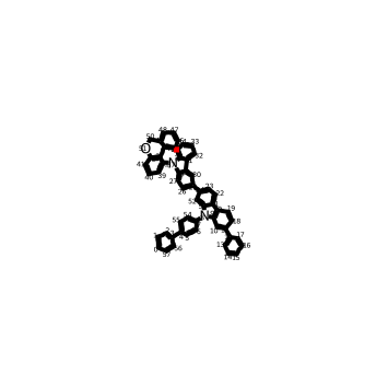 c1ccc(-c2ccc(-n3c4cc(-c5ccccc5)ccc4c4ccc(-c5ccc6c(c5)c5ccccc5n6-c5cccc6c5-c5ccccc5CO6)cc43)cc2)cc1